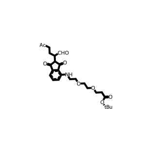 CC(=O)CCC(C=O)C1C(=O)c2cccc(NCCOCCOCCC(=O)OC(C)(C)C)c2C1=O